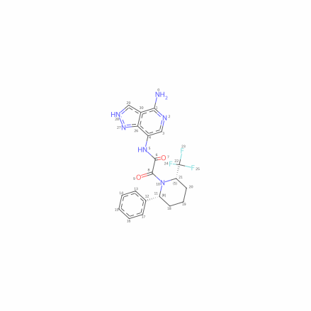 Nc1ncc(NC(=O)C(=O)N2[C@@H](c3ccccc3)CCC[C@H]2C(F)(F)F)c2n[nH]cc12